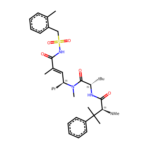 CN[C@H](C(=O)N[C@H](C(=O)N(C)[C@H](C=C(C)C(=O)NS(=O)(=O)Cc1ccccc1C)C(C)C)C(C)(C)C)C(C)(C)c1ccccc1